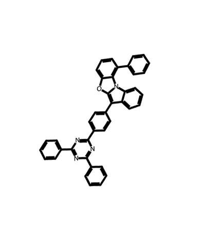 c1ccc(-c2nc(-c3ccccc3)nc(-c3ccc(-c4c5ccccc5n5c4oc4cccc(-c6ccccc6)c45)cc3)n2)cc1